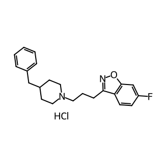 Cl.Fc1ccc2c(CCCN3CCC(Cc4ccccc4)CC3)noc2c1